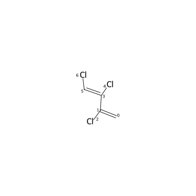 C=C(Cl)/C(Cl)=C/Cl